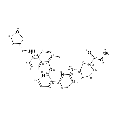 Cc1ccc2c(NC[C@@H]3CCOC3)cccc2c1Oc1ncccc1-c1ccnc(N[C@H]2CCCN(C(=O)OC(C)(C)C)C2)n1